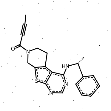 CC#CC(=O)N1CCc2c(sc3ncnc(N[C@H](C)c4ccccc4)c23)C1